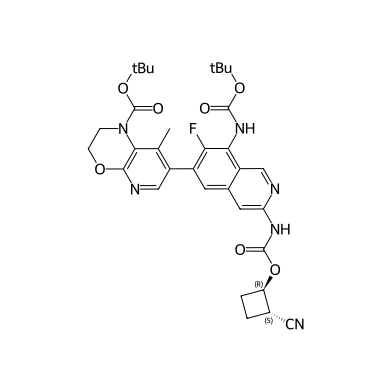 Cc1c(-c2cc3cc(NC(=O)O[C@@H]4CC[C@H]4C#N)ncc3c(NC(=O)OC(C)(C)C)c2F)cnc2c1N(C(=O)OC(C)(C)C)CCO2